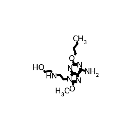 CCCCOc1nc(N)c2nc(OC)n(CCNCCO)c2n1